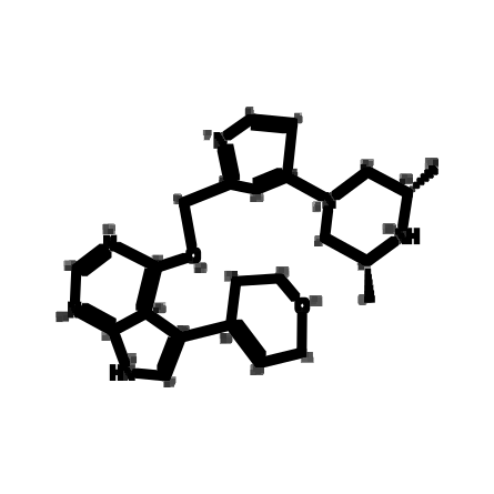 C[C@@H]1CN(c2ccnc(COc3ncnc4[nH]cc(C5=CCOCC5)c34)c2)C[C@H](C)N1